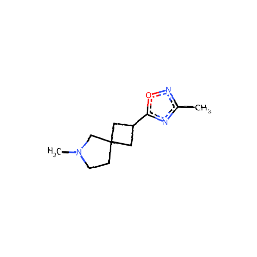 Cc1noc(C2CC3(CCN(C)C3)C2)n1